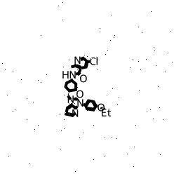 CCOc1ccc(-n2c(=O)n(C[C@H]3CC[C@H](NC(=O)c4cc(Cl)cnc4C)CC3)c3cccnc32)cc1